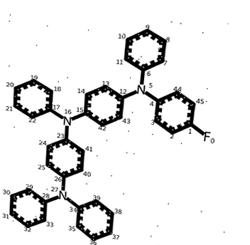 Fc1ccc(N(c2ccccc2)c2ccc(N(c3ccccc3)c3ccc(N(c4ccccc4)c4ccccc4)cc3)cc2)cc1